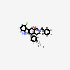 COc1cccc([C@@]23CCN(Cc4ccccc4)C[C@@]2(O)Cc2c([nH]c4cccc(F)c24)C3)c1